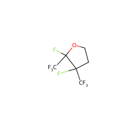 FC(F)(F)C1(F)CCOC1(F)C(F)(F)F